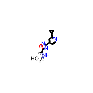 C[C@H](NC(=O)O)c1nc(-c2ccnc(C3CC3)c2)no1